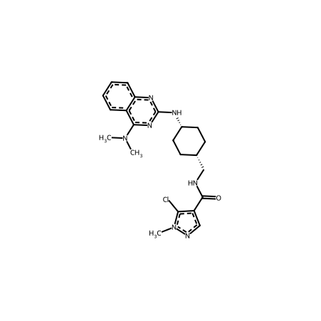 CN(C)c1nc(N[C@H]2CC[C@@H](CNC(=O)c3cnn(C)c3Cl)CC2)nc2ccccc12